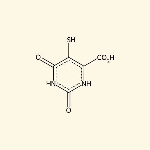 O=C(O)c1[nH]c(=O)[nH]c(=O)c1S